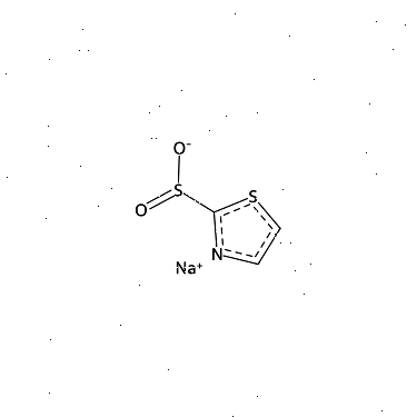 O=S([O-])c1nccs1.[Na+]